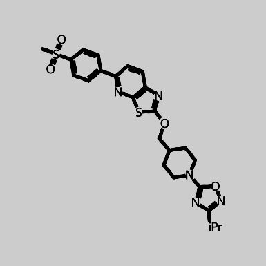 CC(C)c1noc(N2CCC(COc3nc4ccc(-c5ccc(S(C)(=O)=O)cc5)nc4s3)CC2)n1